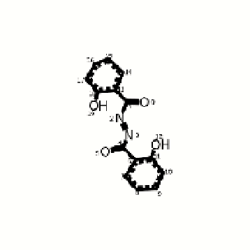 O=C(N=NC(=O)c1ccccc1O)c1ccccc1O